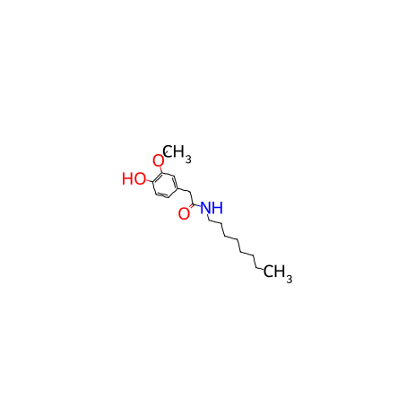 CCCCCCCCNC(=O)Cc1ccc(O)c(OC)c1